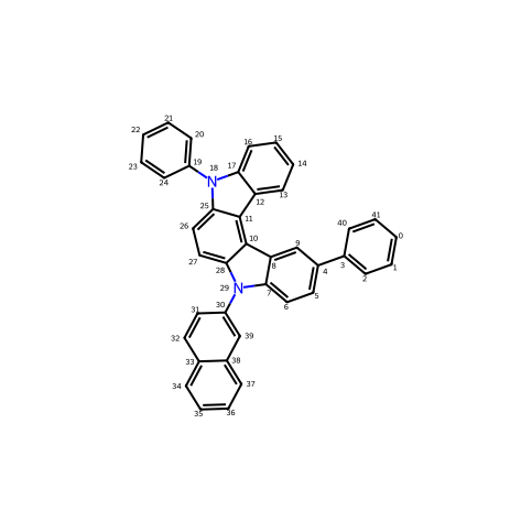 c1ccc(-c2ccc3c(c2)c2c4c5ccccc5n(-c5ccccc5)c4ccc2n3-c2ccc3ccccc3c2)cc1